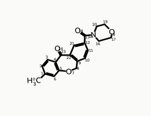 Cc1ccc2c(c1)OCc1ccc(C(=O)N3CCOCC3)cc1C2=O